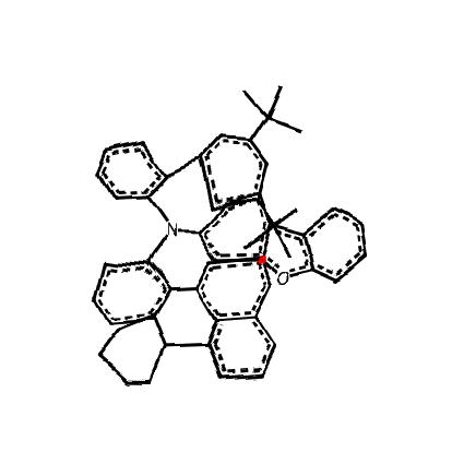 CC(C)(C)c1cc(-c2ccccc2N(c2ccc3c(c2)oc2ccccc23)c2ccccc2-c2cccc3cccc(C4CCCCC4)c23)cc(C(C)(C)C)c1